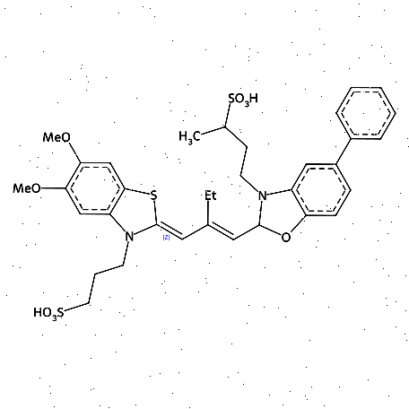 CCC(=CC1Oc2ccc(-c3ccccc3)cc2N1CCC(C)S(=O)(=O)O)/C=C1\Sc2cc(OC)c(OC)cc2N1CCCS(=O)(=O)O